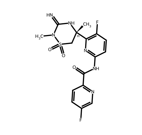 CN1C(=N)N[C@](C)(c2nc(NC(=O)c3ccc(F)cn3)ccc2F)CS1(=O)=O